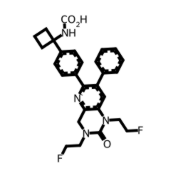 O=C(O)NC1(c2ccc(-c3nc4c(cc3-c3ccccc3)N(CCF)C(=O)N(CCF)C4)cc2)CCC1